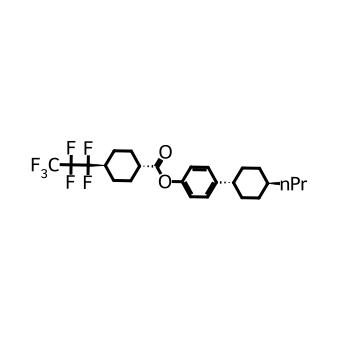 CCC[C@H]1CC[C@H](c2ccc(OC(=O)[C@H]3CC[C@H](C(F)(F)C(F)(F)C(F)(F)F)CC3)cc2)CC1